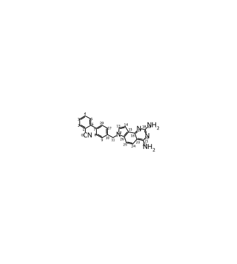 N#Cc1ccccc1-c1ccc(Cn2ccc3c4nc(N)nc(N)c4ccc32)cc1